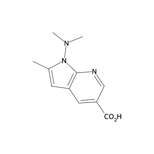 Cc1cc2cc(C(=O)O)cnc2n1N(C)C